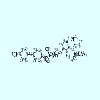 CN(C)CC1CCCN1Cc1ccc(CCNC(=O)Oc2ccc(-c3ccc(Cl)cc3)cc2)cc1